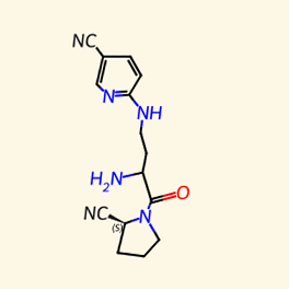 N#Cc1ccc(NCCC(N)C(=O)N2CCC[C@H]2C#N)nc1